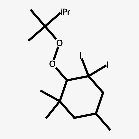 CC1CC(C)(C)C(OOC(C)(C)C(C)C)C(I)(I)C1